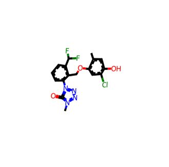 Cc1cc(O)c(Cl)cc1OCc1c(C(F)F)cccc1-n1nnn(C)c1=O